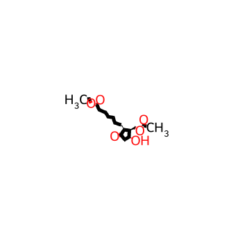 CCOC(=O)CCCCCC[C@H]1C(=O)C[C@@H](O)[C@@H]1COC(C)=O